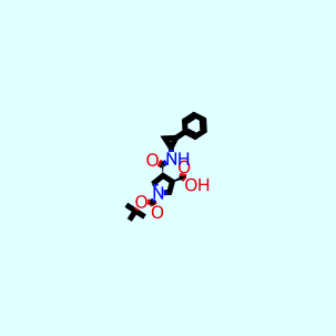 CC(C)(C)OC(=O)N1C[C@H](C(=O)O)[C@@H](C(=O)NC2CC2c2ccccc2)C1